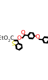 CCOC(=O)c1sc2ccccc2c1OCC(=O)c1ccc(OCc2ccccc2)cc1